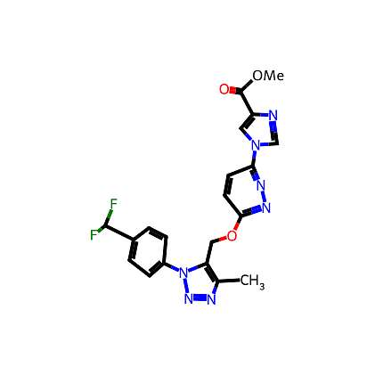 COC(=O)c1cn(-c2ccc(OCc3c(C)nnn3-c3ccc(C(F)F)cc3)nn2)cn1